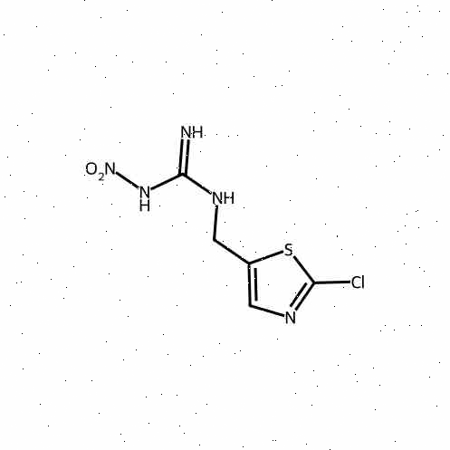 N=C(NCc1cnc(Cl)s1)N[N+](=O)[O-]